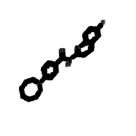 O=C(Nc1ccc2cc(F)ccc2n1)c1ccc(N2CCCCCCC2)cc1